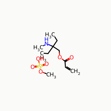 C=CC(=O)OCC(CC)(CC)NC.COS(=O)(=O)O